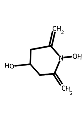 C=C1CC(O)CC(=C)N1O